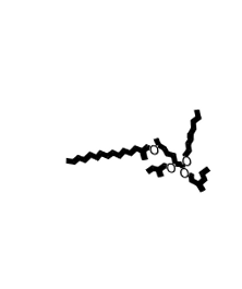 C=C(CCC)CCOC(OCCCC=CCCCC)C(CCCC(C)OCC(=C)CCCCCCCCCCCCC)OCC(=C)CC